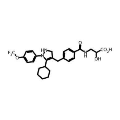 O=C(NCC(O)C(=O)O)c1ccc(CC2=C(C3CCCCC3)N(c3ccc(OC(F)(F)F)cc3)NC2)cc1